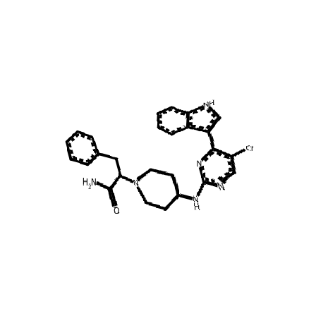 NC(=O)C(Cc1ccccc1)N1CCC(Nc2ncc(Cl)c(-c3c[nH]c4ccccc34)n2)CC1